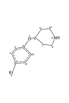 CCc1ccc(OC2CCNCC2)cc1